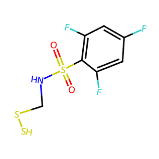 O=S(=O)(NCSS)c1c(F)cc(F)cc1F